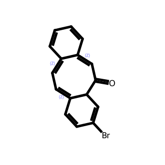 O=C1/C=c2/cccc/c2=C/C=C2/C=CC(Br)=CC12